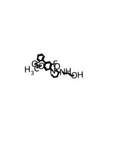 CS(=O)(=O)c1ccccc1-c1ccc(N2CCCC(NCCCO)C2=O)c(F)c1